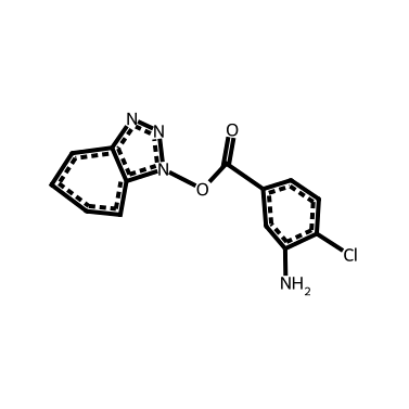 Nc1cc(C(=O)On2nnc3ccccc32)ccc1Cl